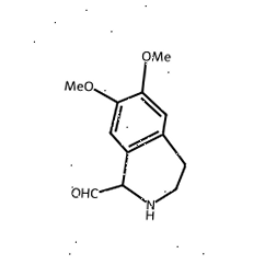 COc1cc2c(cc1OC)C(C=O)NCC2